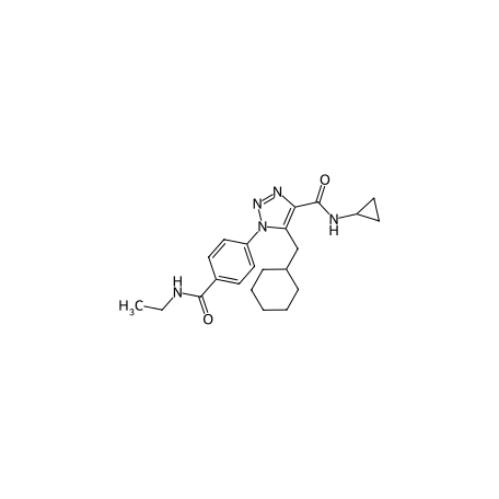 CCNC(=O)c1ccc(-n2nnc(C(=O)NC3CC3)c2CC2CCCCC2)cc1